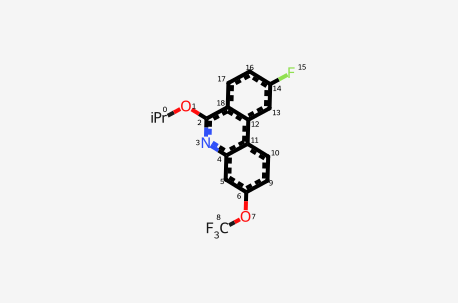 CC(C)Oc1nc2cc(OC(F)(F)F)ccc2c2cc(F)ccc12